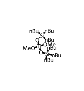 CCCC[Si](CCCC)(CCCC)[O][Ti]([O]C)([O]C)[O][Si](CCCC)(CCCC)CCCC